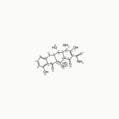 NC(=O)C1=C(O)[C@@H](N)C2[C@@H](O)C3Sc4cccc(O)c4C(=O)C3=C(O)[C@]2(O)C1=O